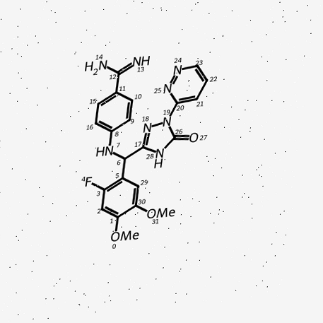 COc1cc(F)c(C(Nc2ccc(C(=N)N)cc2)c2nn(-c3cccnn3)c(=O)[nH]2)cc1OC